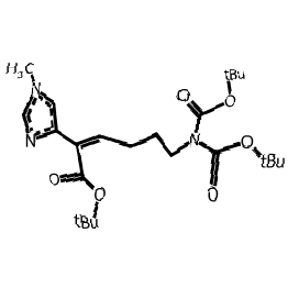 Cn1cnc(/C(=C/CCCN(C(=O)OC(C)(C)C)C(=O)OC(C)(C)C)C(=O)OC(C)(C)C)c1